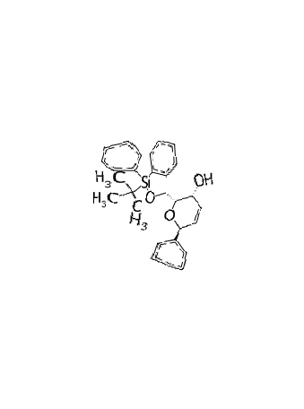 CC(C)(C)[Si](OC[C@H]1O[C@H](c2ccccc2)C=C[C@H]1O)(c1ccccc1)c1ccccc1